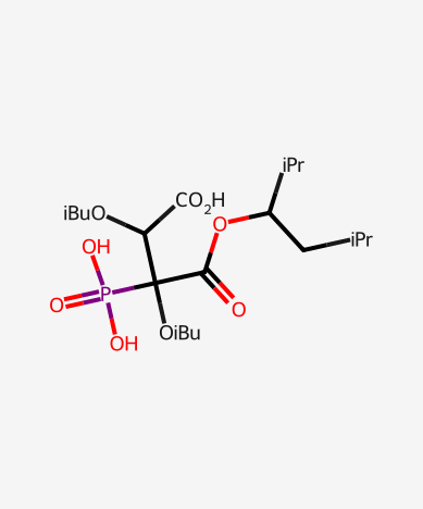 CC(C)COC(C(=O)O)C(OCC(C)C)(C(=O)OC(CC(C)C)C(C)C)P(=O)(O)O